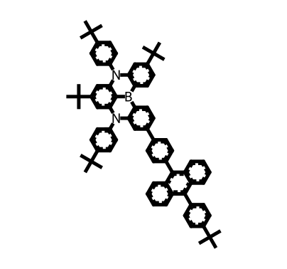 CC(C)(C)c1ccc(-c2c3ccccc3c(-c3ccc(-c4ccc5c(c4)N(c4ccc(C(C)(C)C)cc4)c4cc(C(C)(C)C)cc6c4B5c4ccc(C(C)(C)C)cc4N6c4ccc(C(C)(C)C)cc4)cc3)c3ccccc23)cc1